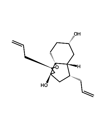 C=CC[C@@H]1C[C@]2(O)C[C@@H](CC=C)[C@H]3C[C@@H](O)CC[C@@]32O1